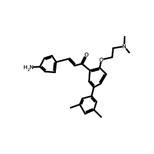 Cc1cc(C)cc(-c2ccc(OCCN(C)C)c(C(=O)C=Cc3ccc(N)cc3)c2)c1